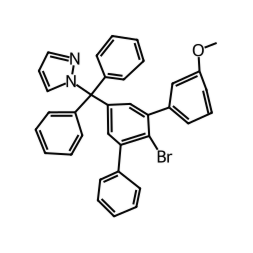 COc1cccc(-c2cc(C(c3ccccc3)(c3ccccc3)n3cccn3)cc(-c3ccccc3)c2Br)c1